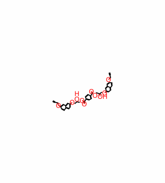 C#CCOc1ccc2ccc(OCC(O)COC(=O)c3ccc(C(=O)OCC(O)COc4ccc5ccc(OCC#C)cc5c4)cc3)cc2c1